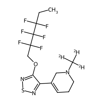 [2H]C([2H])([2H])N1CCC=C(c2nsnc2OCC(F)(F)C(F)(F)C(F)(F)CC)C1